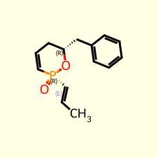 C/C=C/[P@]1(=O)C=CC[C@H](Cc2ccccc2)O1